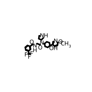 COc1ccc(C2(O)CCC(N(C(=O)CNC(=O)c3cccc(C(F)(F)F)c3)[C@@H]3CCNC3)CC2)cn1